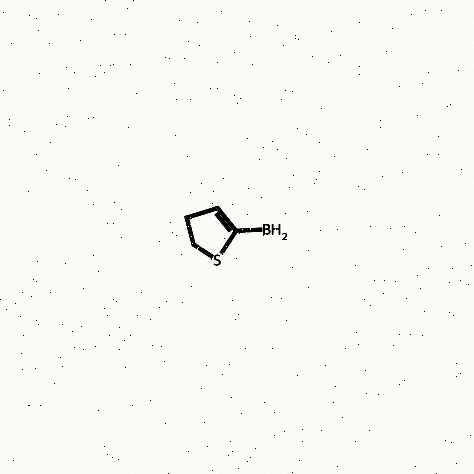 BC1=CCCS1